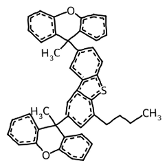 CCCCc1cc(C2(C)c3ccccc3Oc3ccccc32)cc2c1sc1ccc(C3(C)c4ccccc4Oc4ccccc43)cc12